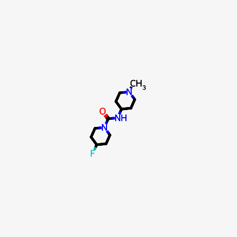 CN1CCC(NC(=O)N2CCC(F)CC2)CC1